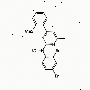 CCN(c1nc(C)cc(-c2ccccc2SC)n1)c1ccc(Br)cc1Br